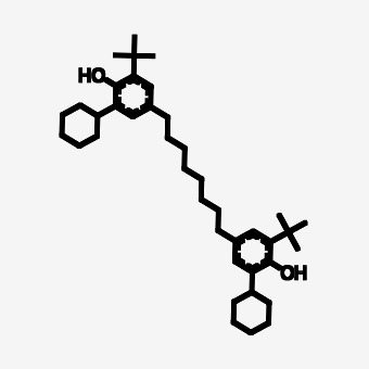 CC(C)(C)c1cc(CCCCCCCCc2cc(C3CCCCC3)c(O)c(C(C)(C)C)c2)cc(C2CCCCC2)c1O